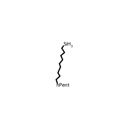 CCCCCCCCCCCCCC[SiH3]